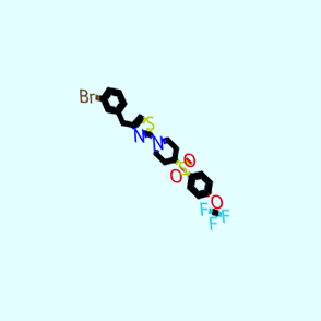 O=S(=O)(c1ccc(OC(F)(F)F)cc1)C1CCN(c2nc(Cc3cccc(Br)c3)cs2)CC1